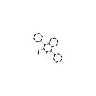 C=Cc1c(N)c(-c2ccccc2)c2ccccc2c1-c1ccccc1